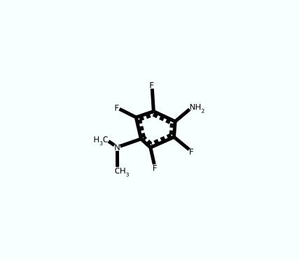 CN(C)c1c(F)c(F)c(N)c(F)c1F